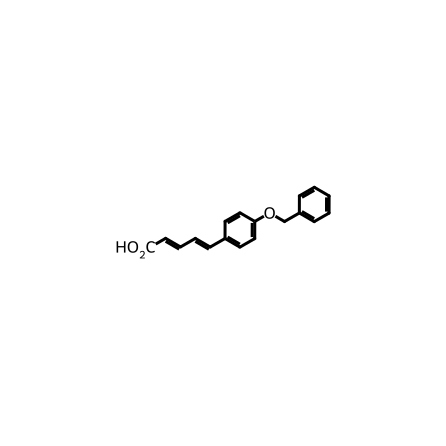 O=C(O)C=CC=Cc1ccc(OCc2ccccc2)cc1